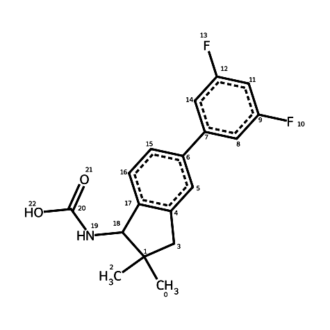 CC1(C)Cc2cc(-c3cc(F)cc(F)c3)ccc2C1NC(=O)O